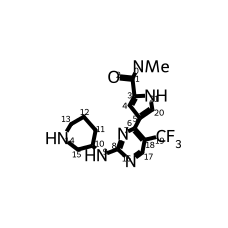 CNC(=O)c1cc(-c2nc(NC3CCCNC3)ncc2C(F)(F)F)c[nH]1